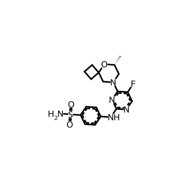 C[C@@H]1CN(c2nc(Nc3ccc(S(N)(=O)=O)cc3)ncc2F)CC2(CCC2)O1